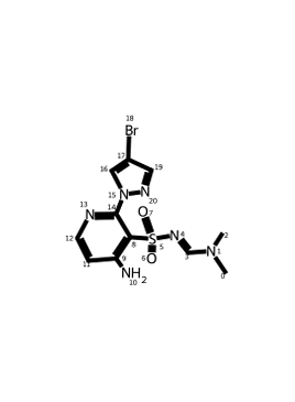 CN(C)C=NS(=O)(=O)c1c(N)ccnc1-n1cc(Br)cn1